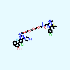 Cc1sc2c(c1C)C(c1ccc(Cl)cc1)=N[C@@H](CC(=O)NCCOCCOCCOCCOCCN(C)c1nc(N3CCNCC3)c3cc(Cl)c(-c4cc(O)cc5ccccc45)c(F)c3n1)c1nnc(C)n1-2